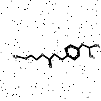 COCCOC(=O)CCc1ccc(SC(C)C)cc1